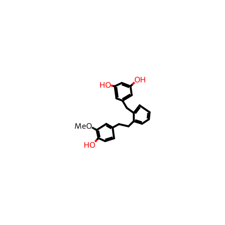 COc1cc(CCc2ccccc2Cc2cc(O)cc(O)c2)ccc1O